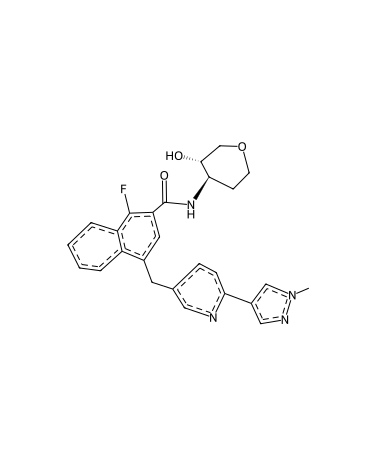 Cn1cc(-c2ccc(Cc3cc(C(=O)N[C@@H]4CCOC[C@H]4O)c(F)c4ccccc34)cn2)cn1